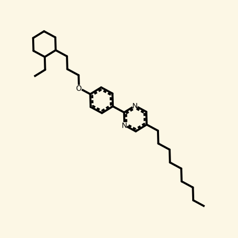 CCCCCCCCCc1cnc(-c2ccc(OCCCC3CCCCC3CC)cc2)nc1